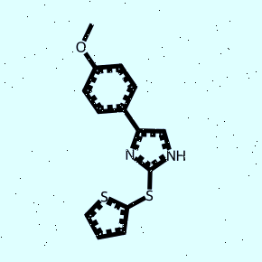 COc1ccc(-c2c[nH]c(Sc3cccs3)n2)cc1